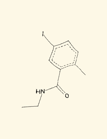 CCNC(=O)c1cc(I)ccc1C